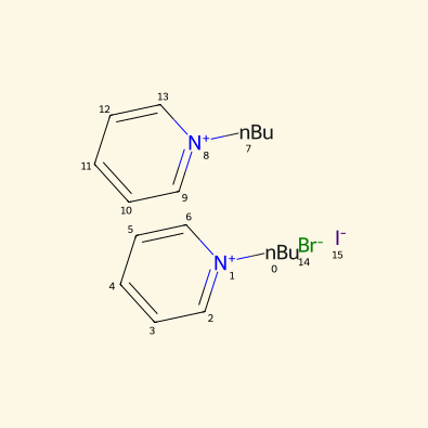 CCCC[n+]1ccccc1.CCCC[n+]1ccccc1.[Br-].[I-]